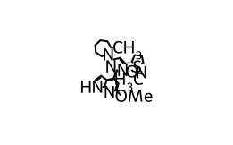 CN=S1(=O)CCC[C@H]1c1cc(N2CCCCC[C@H]2C)nc(-c2cc(OC)nc3[nH]ccc23)n1